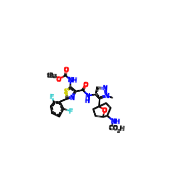 Cn1ncc(NC(=O)c2nc(-c3c(F)cccc3F)sc2NC(=O)OC(C)(C)C)c1C12CCC(NC(=O)O)C(CC1)O2